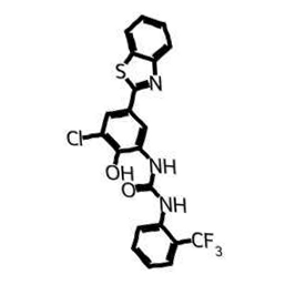 O=C(Nc1ccccc1C(F)(F)F)Nc1cc(-c2nc3ccccc3s2)cc(Cl)c1O